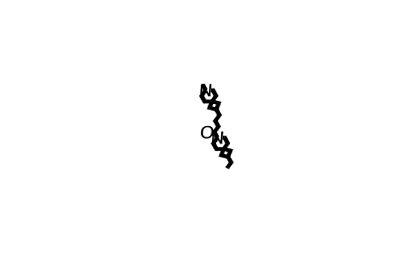 CCC1CC2(CCN(C(=O)CCCC3CC4(CCN(C)CC4)C3)CC2)C1